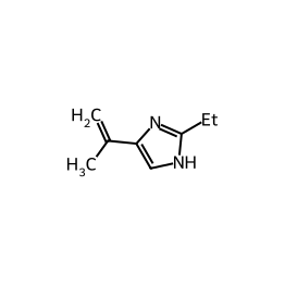 C=C(C)c1c[nH]c(CC)n1